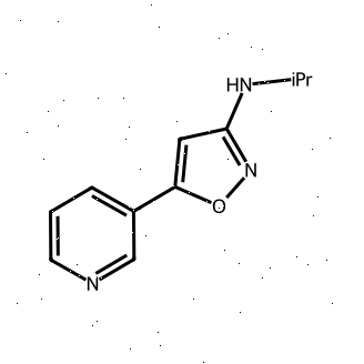 CC(C)Nc1cc(-c2cccnc2)on1